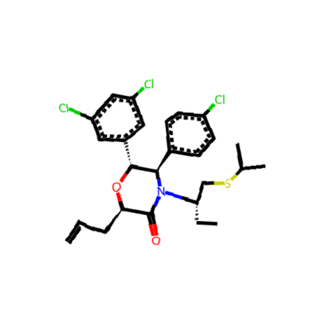 C=CC[C@H]1O[C@H](c2cc(Cl)cc(Cl)c2)[C@@H](c2ccc(Cl)cc2)N([C@@H](CC)CSC(C)C)C1=O